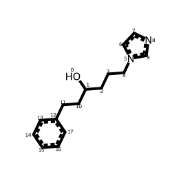 OC(CCCn1ccnc1)CCc1ccccc1